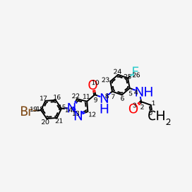 C=CC(=O)Nc1cc(NC(=O)c2cnn(-c3ccc(Br)cc3)c2)ccc1F